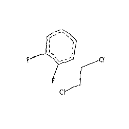 ClCCCl.Fc1ccccc1F